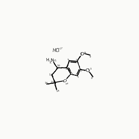 COc1cc2c(cc1OC)C(N)CC(C)(C)O2.Cl